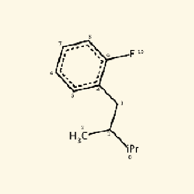 CC(C)C(C)Cc1ccccc1F